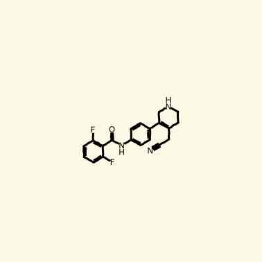 N#CCC1=C(c2ccc(NC(=O)c3c(F)cccc3F)cc2)CNCC1